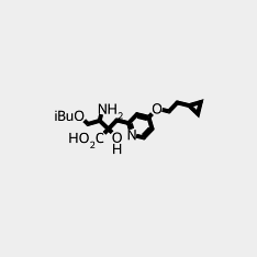 CC(C)COCC(N)C(O)(Cc1cc(OCCC2CC2)ccn1)C(=O)O